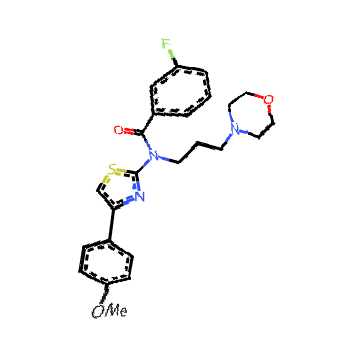 COc1ccc(-c2csc(N(CCCN3CCOCC3)C(=O)c3cccc(F)c3)n2)cc1